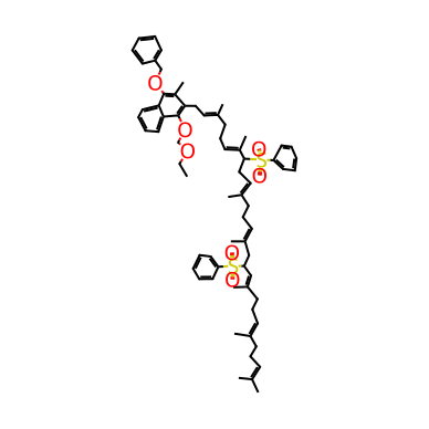 CCOCOc1c(C/C=C(\C)CC/C=C(\C)C(C/C=C(\C)CC/C=C(\C)CC(/C=C(\C)CC/C=C(\C)CCC=C(C)C)S(=O)(=O)c2ccccc2)S(=O)(=O)c2ccccc2)c(C)c(OCc2ccccc2)c2ccccc12